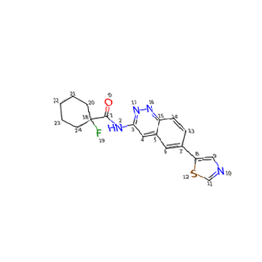 O=C(Nc1cc2cc(-c3cncs3)ccc2nn1)C1(F)CCCCC1